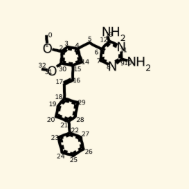 COc1cc(Cc2cnc(N)nc2N)cc(/C=C/c2ccc(-c3ccccc3)cc2)c1OC